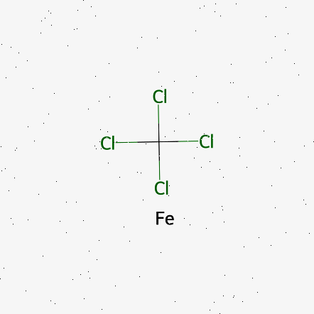 ClC(Cl)(Cl)Cl.[Fe]